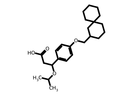 CC(C)OC(CC(=O)O)c1ccc(OCC2CCCC3(CCCCC3)C2)cc1